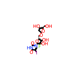 O=c1[nH]c(=O)n([C@H]2O[C@H](COC3C[C@H](O)[C@@H](CO)O3)[C@@H](O)[C@]2(O)F)cc1I